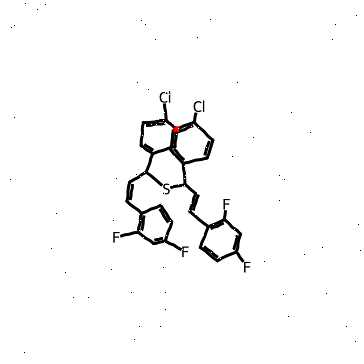 Fc1ccc(C=CC(SC(/C=C\c2ccc(F)cc2F)c2ccc(Cl)cc2)c2ccc(Cl)cc2)c(F)c1